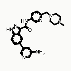 CN1CCN(Cc2ccc(NC(=O)c3n[nH]c4ccc(-c5cncc(N)c5)cc34)cn2)CC1